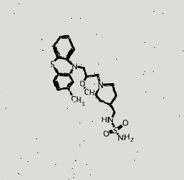 COC(CN1CCC(CNS(N)(=O)=O)CC1)CN1c2ccccc2Sc2ccc(C)cc21